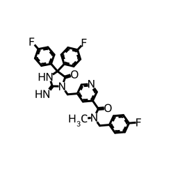 CN(Cc1ccc(F)cc1)C(=O)c1cncc(CN2C(=N)NC(c3ccc(F)cc3)(c3ccc(F)cc3)C2=O)c1